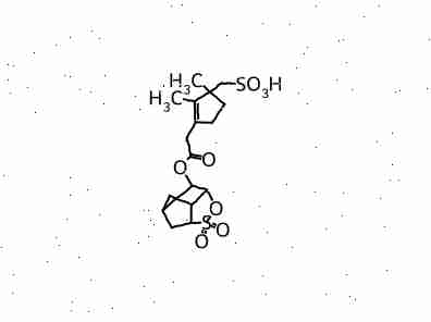 CC1=C(CC(=O)OC2C3CC4C2OS(=O)(=O)C4C3)CCC1(C)CS(=O)(=O)O